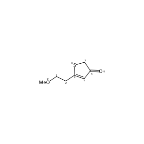 COCCC1=CC(=O)CS1